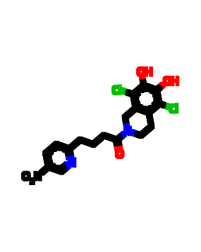 O=C(CCCc1ccc([N+](=O)[O-])cn1)N1CCc2c(Cl)c(O)c(O)c(Cl)c2C1